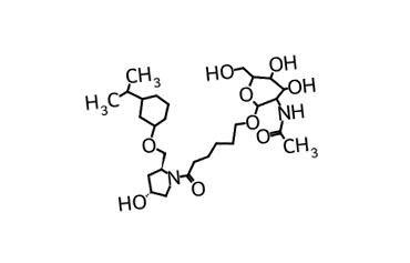 CC(=O)NC1C(OCCCCCC(=O)N2C[C@H](O)C[C@H]2COC2CCCC(C(C)C)C2)OC(CO)C(O)C1O